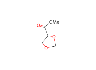 COC(=O)C1CO[CH]O1